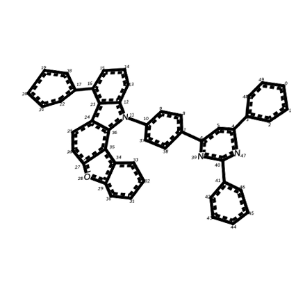 c1ccc(-c2cc(-c3ccc(-n4c5cccc(-c6ccccc6)c5c5ccc6oc7ccccc7c6c54)cc3)nc(-c3ccccc3)n2)cc1